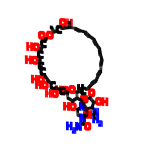 C[C@H]1C[C@H](O)[C@@H](C)/C=C/C=C/C=C/C=C/C=C/C=C/C=C/C(O[C@@H]2OC[C@@H](O)[C@H](N)[C@@H]2O)C[C@@H]2OC(O)(CC(O)CC(O)C(O)CCC(O)CC(O)CC(=O)O1)C[C@H](O)C2C(=O)N1CCN(C(N)=O)CC1